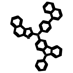 c1ccc(-n2c3ccccc3c3cc(N(c4ccc(-c5cccc6ccccc56)cc4)c4nc5ccc6ccccc6c5o4)ccc32)cc1